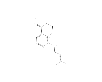 NN=C1CCCc2c(OCC=C(Cl)Cl)cccc21